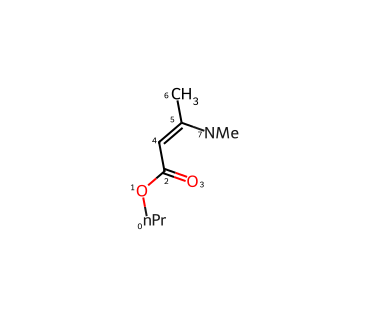 CCCOC(=O)/C=C(/C)NC